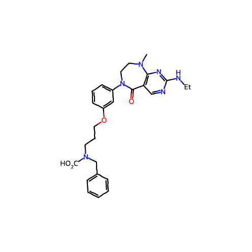 CCNc1ncc2c(n1)N(C)CCN(c1cccc(OCCCN(Cc3ccccc3)C(=O)O)c1)C2=O